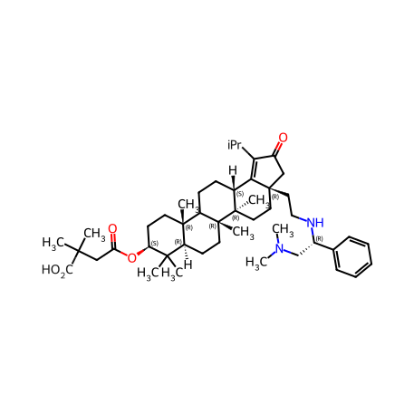 CC(C)C1=C2[C@H]3CCC4[C@@]5(C)CC[C@H](OC(=O)CC(C)(C)C(=O)O)C(C)(C)[C@@H]5CC[C@@]4(C)[C@]3(C)CC[C@@]2(CCN[C@@H](CN(C)C)c2ccccc2)CC1=O